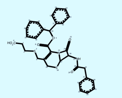 O=C(O)CCSCC1=C(C(=O)OC(c2ccccc2)c2ccccc2)N2C(=O)C(NC(=O)Cc3ccccc3)C2SC1